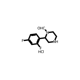 Cl.O=CN1CCNCC1c1ccc(F)cc1F